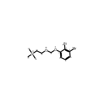 CCc1c(Br)cccc1OCOCC[Si](C)(C)C